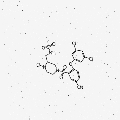 CS(=O)(=O)NCC1CN(S(=O)(=O)c2cc(C#N)ccc2Oc2cc(Cl)cc(Cl)c2)CCN1Cl